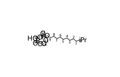 CC(C)CCCCCCCCCOP1(=O)OOOP(=O)(O)O1